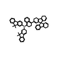 CC1(C)C2=CC(N(C3=c4ccccc4=C(C4=CC5=C(CC4)C4=C(C=CCC4)C54C5=C(CCC=C5)c5ccccc54)CC3)c3ccc4c(c3)C(C)(C)c3ccccc3-4)CC=C2c2ccccc21